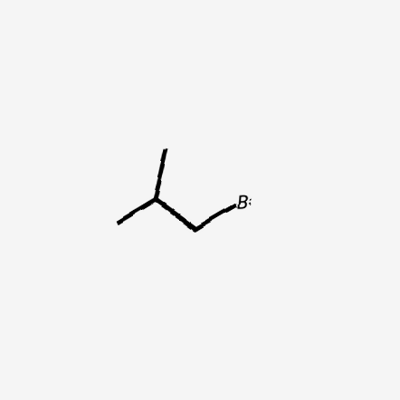 [B]CC(C)C